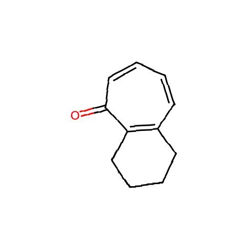 O=c1ccccc2c1CCCC2